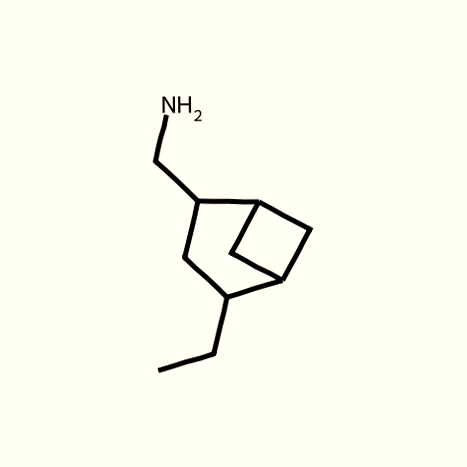 CCC1CC(CN)C2CC1C2